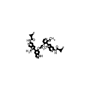 COc1nccc(OCCOc2cc3[nH]ncc3cc2-c2cc3cc(NC(=O)C4CC4F)ncc3n2C)c1-c1cc2cc(NC(=O)C3CC3F)ncc2n1C